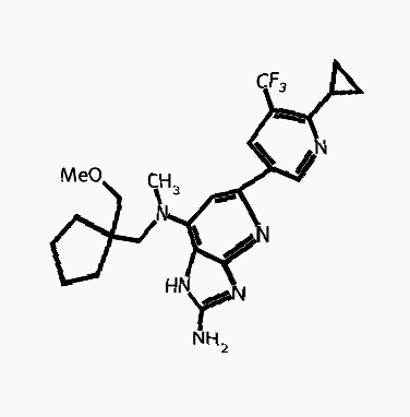 COCC1(CN(C)c2cc(-c3cnc(C4CC4)c(C(F)(F)F)c3)nc3nc(N)[nH]c23)CCCC1